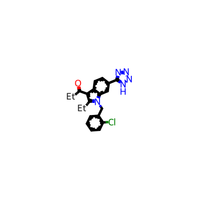 CCC(=O)c1c(CC)n(Cc2ccccc2Cl)c2cc(-c3nnn[nH]3)ccc12